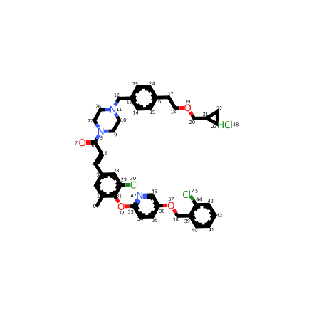 Cc1cc(C=CC(=O)N2CCN(Cc3ccc(CCOCC4CC4)cc3)CC2)cc(Cl)c1Oc1ccc(OCc2ccccc2Cl)cn1.Cl